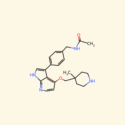 CC(=O)NCc1ccc(-c2c[nH]c3nccc(OCC4(C)CCNCC4)c23)cc1